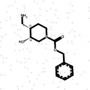 NC[C@@H]1CCN(C(=O)OCc2ccccc2)C[C@@H]1O